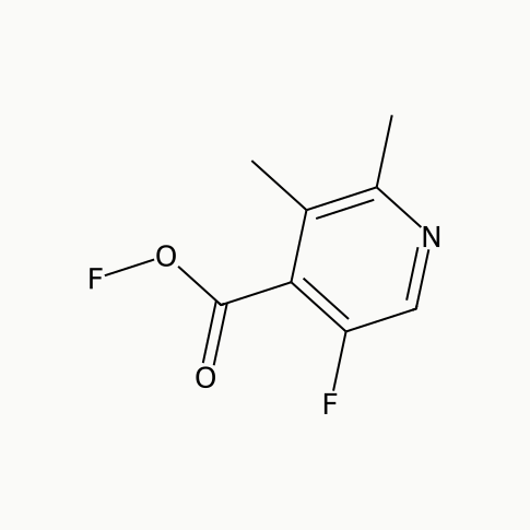 Cc1ncc(F)c(C(=O)OF)c1C